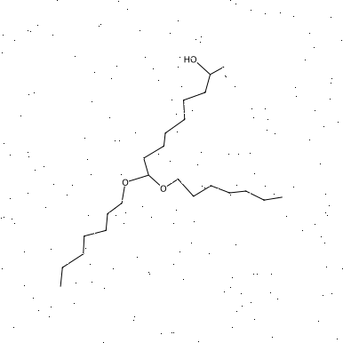 CCCCCCCOC(CCCCCCC(C)O)OCCCCCCC